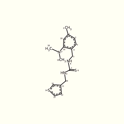 Cc1ccc(CNC(=S)NCc2ccsc2)c(N(C)C)c1